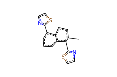 Cc1ccc2c(-c3nccs3)cccc2c1-c1nccs1